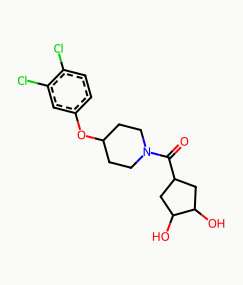 O=C(C1CC(O)C(O)C1)N1CCC(Oc2ccc(Cl)c(Cl)c2)CC1